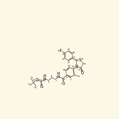 Cc1cc(C(=O)NCCCNC(=O)OC(C)(C)C)ccc1N1C(=O)CSC1c1ccc(F)cc1